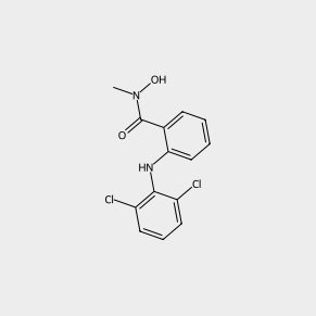 CN(O)C(=O)c1ccccc1Nc1c(Cl)cccc1Cl